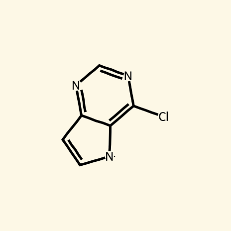 Clc1ncnc2c1[N]C=C2